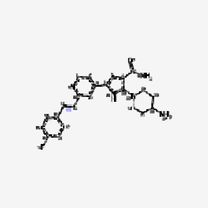 NC(=O)c1cc(-c2ccnc(/C=C/c3ccc(F)cc3)c2)[nH]c1N1CCC(N)CC1